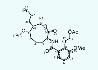 CCCO[C@H]1CCC[C@H](NC(=O)c2nccc(OC)c2OCOC(C)=O)C(=O)O[C@@H](C)[C@@H]1CCC(C)C